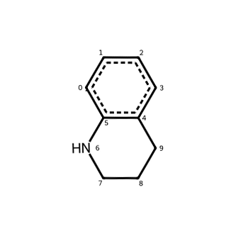 [c]1cccc2c1NCCC2